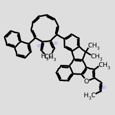 C/C=C\c1oc2c(c1C)c1c(c3ccccc32)-c2cc(-c3ccccccc(-c4cccc5ccccc45)c(=C/C)/c3=C\C)ccc2C1(C)C